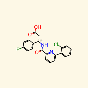 O=C(O)C[C@H](NC(=O)c1cccc(-c2ccccc2Cl)n1)c1ccc(F)cc1